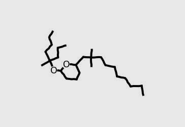 CCCCCCCCC(C)(C)CC1CCCC(OC(C)(CCC)CCCC)O1